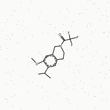 COc1cc2c(cc1C(C)C)CCN(C(=O)C(F)(F)F)C2